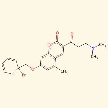 Cc1cc(OCC2(Br)C=CC=CC2)cc2oc(=O)c(C(=O)CCN(C)C)cc12